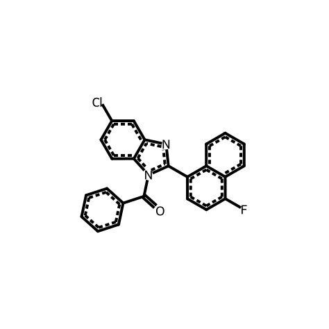 O=C(c1ccccc1)n1c(-c2ccc(F)c3ccccc23)nc2cc(Cl)ccc21